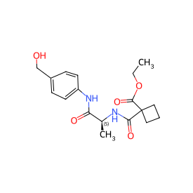 CCOC(=O)C1(C(=O)N[C@@H](C)C(=O)Nc2ccc(CO)cc2)CCC1